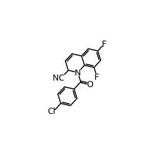 N#CC1C=Cc2cc(F)cc(F)c2N1C(=O)c1ccc(Cl)cc1